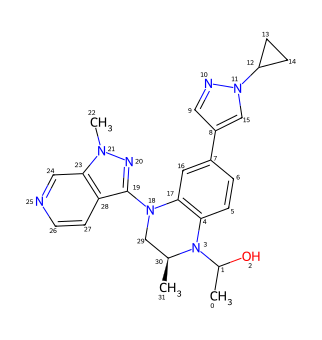 CC(O)N1c2ccc(-c3cnn(C4CC4)c3)cc2N(c2nn(C)c3cnccc23)C[C@@H]1C